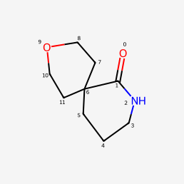 O=C1NCCCC12CCOCC2